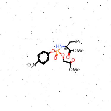 COC(=O)COP(=O)(N[C@@H](CC(C)C)C(=O)OC)Oc1ccc([N+](=O)[O-])cc1